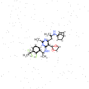 C=C(Cc1nc(C)nc(NC(C)c2cccc(C(C)(F)F)c2F)c1C1OCCO1)NC12CCC(CC1)C2